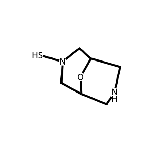 SN1CC2CNCC(C1)O2